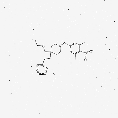 CCOCC1(CCc2ccccc2)CCN(Cc2cc(C)c([N+](=O)[O-])c(C)c2)CC1